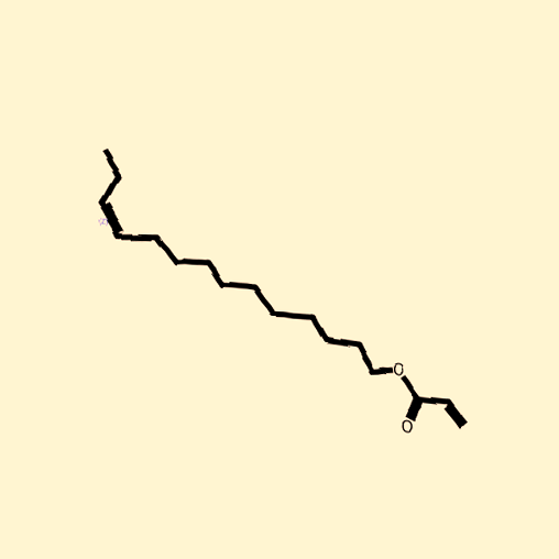 C=CC(=O)OCCCCCCCCCC/C=C\CC